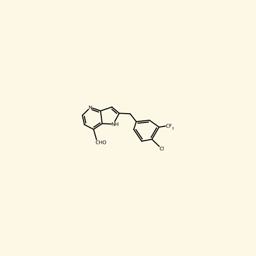 O=Cc1ccnc2cc(Cc3ccc(Cl)c(C(F)(F)F)c3)[nH]c12